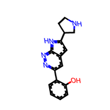 Oc1ccccc1-c1cc2cc(C3CCNC3)[nH]c2nn1